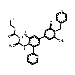 C=C(NC(=O)OCC)Nc1c(N)cc(-c2cc(C)n(Cc3ccncc3)c(=O)c2)cc1-c1ccccn1